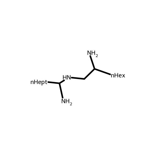 CCCCCCCC(N)NCC(N)CCCCCC